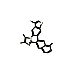 Cc1nc2c3cc4cccc(C)c4cc3c3cc4occ(F)c4cc3n2c1C